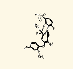 [2H]C1=C(Oc2ccc(F)cc2OC)C=C(C(F)(F)F)N(c2cc(S(C)(=O)=O)ccc2F)C1